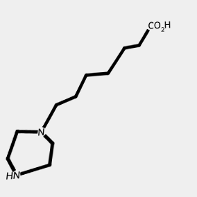 O=C(O)CCCCCCN1CCNCC1